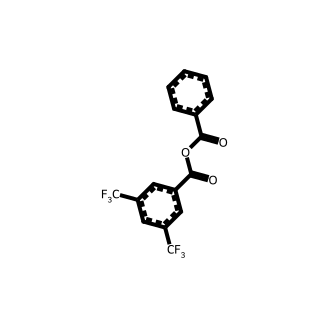 O=C(OC(=O)c1cc(C(F)(F)F)cc(C(F)(F)F)c1)c1ccccc1